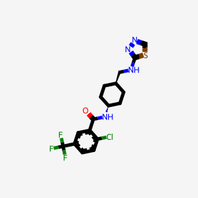 O=C(N[C@H]1CC[C@H](CNc2nncs2)CC1)c1cc(C(F)(F)F)ccc1Cl